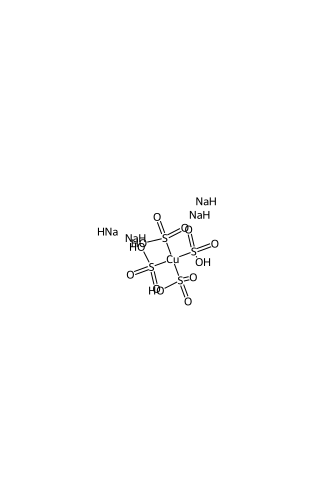 O=[S](=O)(O)[Cu]([S](=O)(=O)O)([S](=O)(=O)O)[S](=O)(=O)O.[NaH].[NaH].[NaH].[NaH]